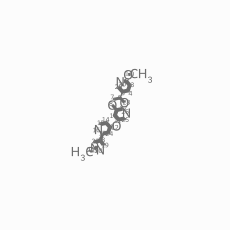 COc1ccc([C@@H]2COc3cc(Oc4ccnc(-c5cnn(C)c5)c4)cnc3O2)cn1